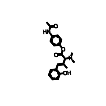 CC(=O)Nc1ccc(OC(=O)C(C(C)=Cc2ccccc2O)N(C)C)cc1